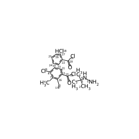 CC(C)(C)NN.Cc1c(Cl)ccc(C(=O)Cl)c1F.Cl.O=C(Cl)c1ccccc1